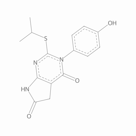 CC(C)Sc1nc2c(c(=O)n1-c1ccc(O)cc1)CC(=O)N2